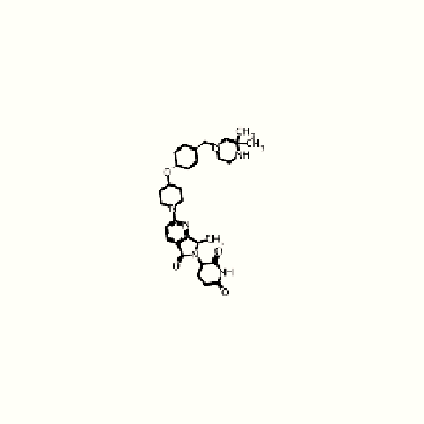 CC1c2nc(N3CCC(O[C@H]4CC[C@H](CN5CCNC(C)(C)C5)CC4)CC3)ccc2C(=O)N1C1CCC(=O)NC1=O